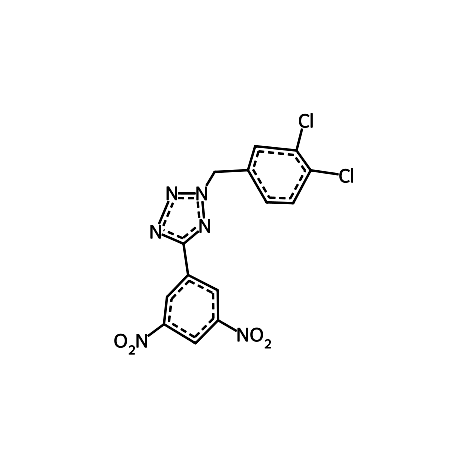 O=[N+]([O-])c1cc(-c2nnn(Cc3ccc(Cl)c(Cl)c3)n2)cc([N+](=O)[O-])c1